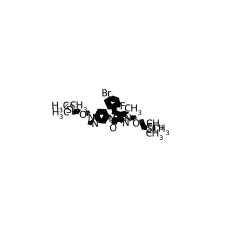 Cc1c2c(nn1COCC[Si](C)(C)C)C(=O)N(c1ccc3c(c1)ncn3COCC[Si](C)(C)C)C2c1ccc(Br)cc1F